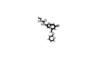 CCNC(=O)Nc1cn2c(COC3CCCCO3)cc(Br)cc2n1